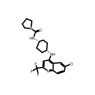 O=C(N[C@H]1CC[C@@H](Nc2cc(C(F)(F)F)nc3ccc(Cl)cc23)CC1)N1CCCC1